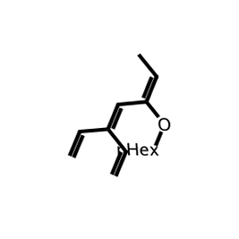 C=CC(C=C)=C/C(=C\C)OCCCCCC